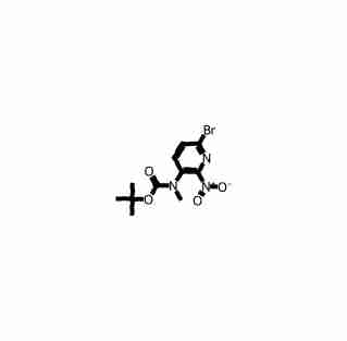 CN(C(=O)OC(C)(C)C)c1ccc(Br)nc1[N+](=O)[O-]